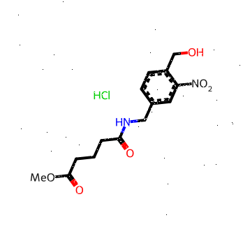 COC(=O)CCCC(=O)NCc1ccc(CO)c([N+](=O)[O-])c1.Cl